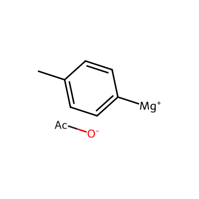 CC(=O)[O-].Cc1cc[c]([Mg+])cc1